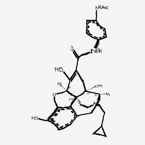 CC(=O)Nc1ccc(NC(=O)C2=C(O)[C@@H]3Oc4c(O)ccc5c4[C@@]34CCN(CC3CC3)[C@H](C5)[C@]4(O)C2)cc1